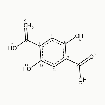 C=C(O)c1cc(O)c(C(=O)O)cc1O